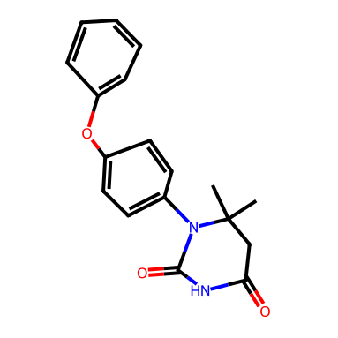 CC1(C)CC(=O)NC(=O)N1c1ccc(Oc2ccccc2)cc1